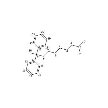 CC(C)CCCCCCC(C)(c1cc[c]cc1)c1cc[c]cc1